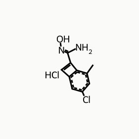 Cc1cc(Cl)cc2c1C(C(N)=NO)=C2.Cl